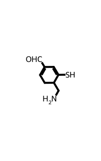 NCC1CC=C(C=O)C=C1S